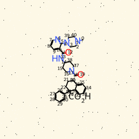 CN1CCN(c2ncccc2C(=O)NC2CCN(C(=O)[C@H]3CC[C@@](C(=O)O)(c4ccccc4)c4ccccc43)CC2)CC1